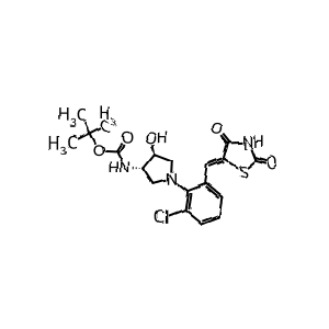 CC(C)(C)OC(=O)N[C@H]1CN(c2c(Cl)cccc2/C=C2\SC(=O)NC2=O)C[C@@H]1O